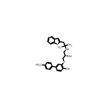 CC(C)(Cc1cc2ccccc2s1)NC[C@@H](O)COc1cc(-c2ccc(C(=O)O)cc2)ccc1C#N